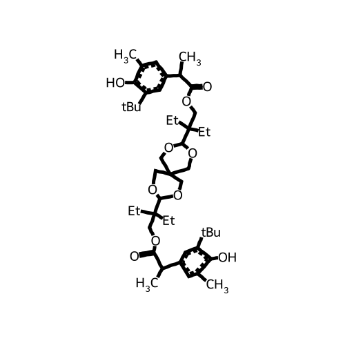 CCC(CC)(COC(=O)C(C)c1cc(C)c(O)c(C(C)(C)C)c1)C1OCC2(CO1)COC(C(CC)(CC)COC(=O)C(C)c1cc(C)c(O)c(C(C)(C)C)c1)OC2